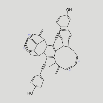 C=C1/C=C\C=C/CC2c3ccccc3C2C2=C(C#Cc3ccc(O)cc3)C3C4C(=C)/C=C\C=C/CC(c5ccccc54)C3C(C#Cc3ccc(O)cc3)=C2C1C